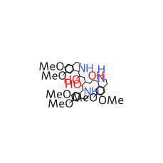 COc1cc2c(cc1OC)C(C(O)CC(CC(O)C1NCCc3cc(OC)c(OC)cc31)C(O)C1NCCc3cc(OC)c(OC)cc31)NCC2